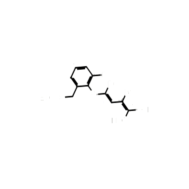 CCOC(=O)Cc1cccc(F)c1O/C(=C/C(Br)=C(\C)O)CC